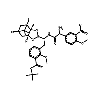 COc1ccc(C(N)C(=O)N[C@@H](Cc2cccc(C(=O)OC(C)(C)C)c2OC)B2O[C@@H]3C[C@@H]4C[C@@H](C4(C)C)[C@]3(C)O2)cc1[N+](=O)[O-]